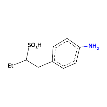 CCC(Cc1ccc(N)cc1)S(=O)(=O)O